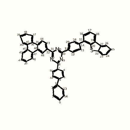 c1ccc(-c2ccc(-c3nc(-c4ccc(-c5cccc6c5sc5ccccc56)cc4)nc(-c4ccc5c6ccccc6c6ccccc6c5c4)n3)cc2)cc1